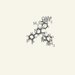 CO[C@H](C)[C@@]1(N)CCCN(c2cnc(-c3ccc(F)c(F)c3)cc2Cn2cnc3c(N)ncnc32)C1